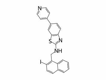 Ic1ccc2ccccc2c1CNc1nc2ccc(-c3ccncc3)cc2s1